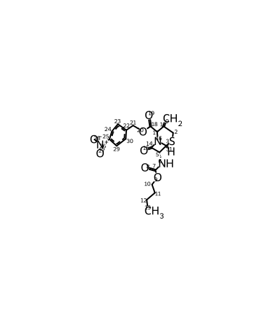 C=C1CS[C@@H]2[C@H](NC(=O)OCCCC)C(=O)N2C1C(=O)OCc1ccc([N+](=O)[O-])cc1